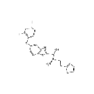 N[C@H](CCc1cccs1)C(O)c1nc2cc(Sc3ccc(F)cc3F)ccc2s1